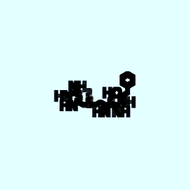 N=C(N)SC(=N)CSCCC(=N)SC(=N)NC(O)Cc1ccccc1